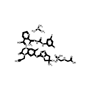 C#CCN1C(=O)COc2cc(F)c(/N=c3\snc4n3CC(C)(C)C4)cc21.C/C(=N\NC(=O)Nc1cc(F)cc(F)c1)c1ncccc1C(=O)O.C[S+](C)C.O=C(O)CNCP(=O)([O-])O